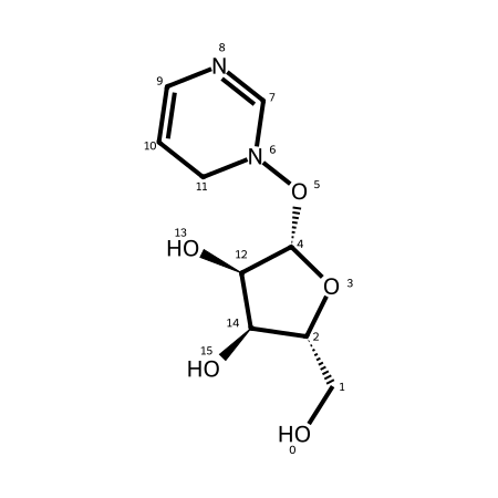 OC[C@H]1O[C@@H](ON2C=NC=CC2)[C@H](O)[C@@H]1O